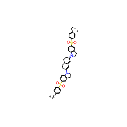 Cc1ccc(S(=O)(=O)c2ccc3c(c2)CCN3C2=CC3=C/C(=[N+]4\CCc5cc(S(=O)(=O)c6ccc(C)cc6)ccc54)CCC3CC2)cc1